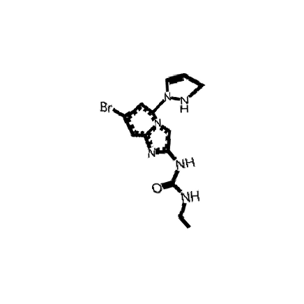 CCNC(=O)Nc1cn2c(N3C=CCN3)cc(Br)cc2n1